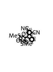 CSN1C(=O)C(=C2c3ccccc3-c3c(C#N)cc(C#N)cc32)C(=O)N(SC)C1=O